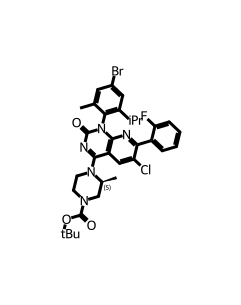 Cc1cc(Br)cc(C(C)C)c1-n1c(=O)nc(N2CCN(C(=O)OC(C)(C)C)C[C@@H]2C)c2cc(Cl)c(-c3ccccc3F)nc21